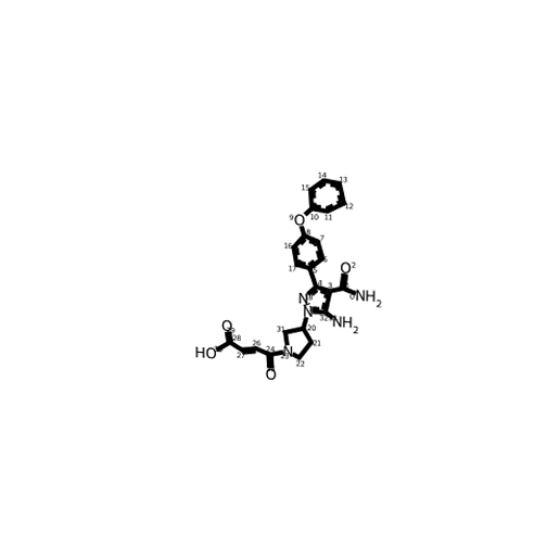 NC(=O)c1c(-c2ccc(Oc3ccccc3)cc2)nn(C2CCN(C(=O)C=CC(=O)O)C2)c1N